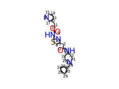 O=C(Cc1csc(NC(=O)OCc2cccnc2)n1)NC1CCN(Cc2ccccc2)CC1